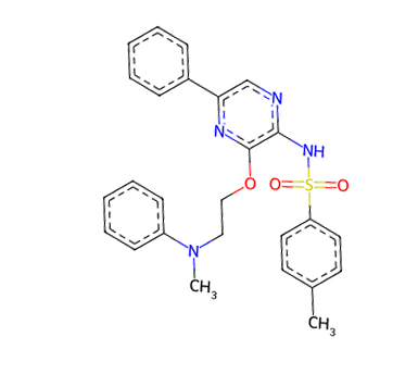 Cc1ccc(S(=O)(=O)Nc2ncc(-c3ccccc3)nc2OCCN(C)c2ccccc2)cc1